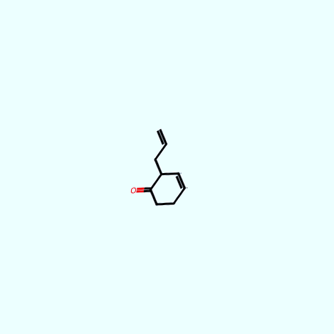 C=CCC1[C]=[C]CCC1=O